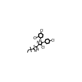 CCC(C)(C)c1nnc(-c2nn(-c3ccc(Cl)cc3Cl)c(-c3ccc(Cl)cc3)c2Cl)s1